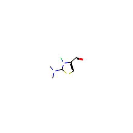 CN(C)C1SC=C(C=O)N1Cl